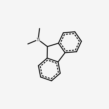 [CH3][Ti]([CH3])[CH]1c2ccccc2-c2ccccc21